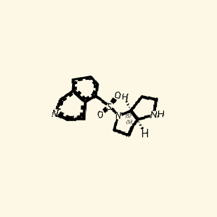 O=S(=O)(c1cccc2cnccc12)N1CC[C@@H]2NCC[C@@H]21